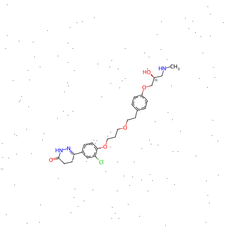 CNC[C@H](O)COc1ccc(CCOCCCOc2ccc(C3=NNC(=O)CC3)cc2Cl)cc1